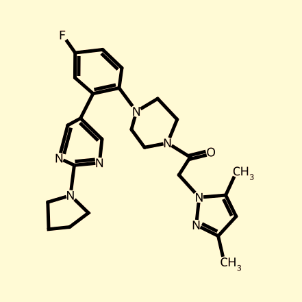 Cc1cc(C)n(CC(=O)N2CCN(c3ccc(F)cc3-c3cnc(N4CCCC4)nc3)CC2)n1